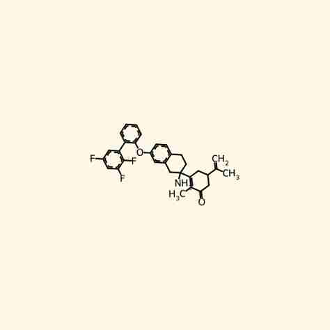 C=C(C)C1CC(=O)C(C)=C(C2(N)CCc3ccc(Oc4ccccc4-c4cc(F)cc(F)c4F)cc3C2)C1